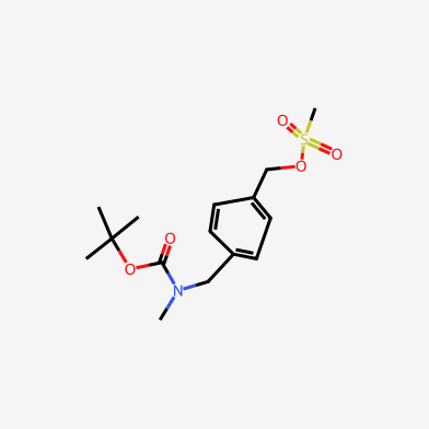 CN(Cc1ccc(COS(C)(=O)=O)cc1)C(=O)OC(C)(C)C